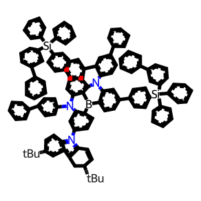 CC(C)(C)c1ccc2c(c1)c1c(n2-c2ccc3c(c2)N(c2ccc(-c4ccccc4)cc2)c2cc(-c4ccc([Si](c5ccccc5)(c5ccccc5)c5cccc(-c6ccccc6)c5)cc4)cc4c2B3c2ccc(-c3ccc([Si](c5ccccc5)(c5ccccc5)c5cccc(-c6ccccc6)c5)cc3)cc2N4c2ccc(-c3ccccc3)cc2-c2ccccc2)C=CC(C(C)(C)C)C1